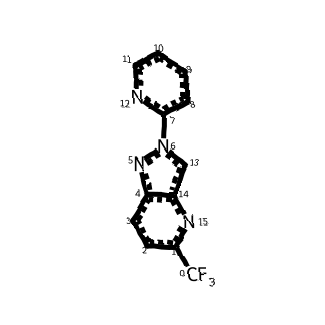 FC(F)(F)c1ccc2nn(-c3ccccn3)cc2n1